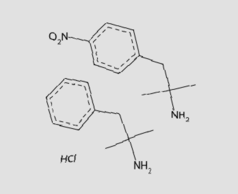 CC(C)(N)Cc1ccc([N+](=O)[O-])cc1.CC(C)(N)Cc1ccccc1.Cl